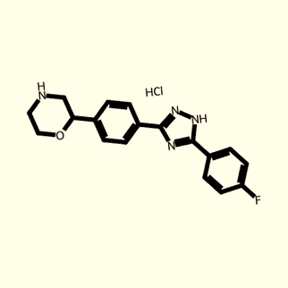 Cl.Fc1ccc(-c2nc(-c3ccc(C4CNCCO4)cc3)n[nH]2)cc1